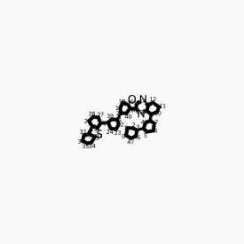 c1ccc(-c2cccc(-c3cccc4nc5oc6ccc(-c7cccc(-c8cccc9c8sc8ccccc89)c7)cc6c5nc34)c2)cc1